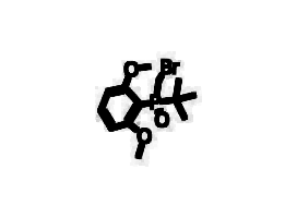 COc1cccc(OC)c1P(=O)(CBr)C(C)(C)C